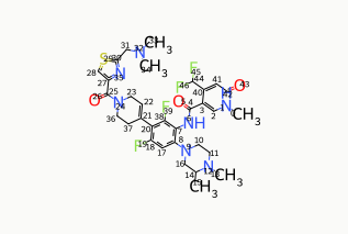 CN/C=C(C(=O)Nc1c(N2CCN(C)C(C)C2)cc(F)c(C2=CCN(C(=O)c3csc(CN(C)C)n3)CC2)c1F)\C(=C/C=O)C(F)F